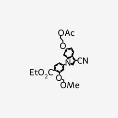 CCOC(=O)c1ccc(-n2cc(C#N)c3ccc(OCCOC(C)=O)cc32)cc1OCOC